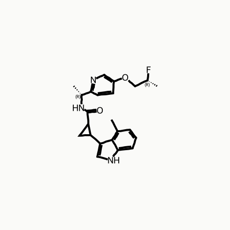 Cc1cccc2[nH]cc(C3CC3C(=O)N[C@H](C)c3ccc(OC[C@@H](C)F)cn3)c12